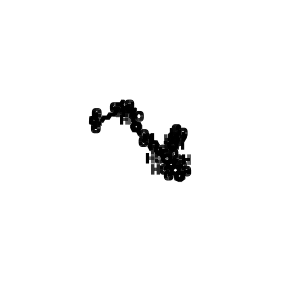 COc1cccc2c1C(=O)c1c(O)c3c(c(O)c1C2=O)C[C@@](O)(C(=O)CN1CCC(N(C)C(=O)OCc2ccc(NC(=O)C(C)NC(=O)C(NC(=O)CCCCCN4C(=O)C=CC4=O)C(C)C)cc2)CC1)C[C@@H]3O[C@H]1C[C@H]2[C@H](O[C@@H]3[C@@H](OC)OCCN32)[C@H](C)O1